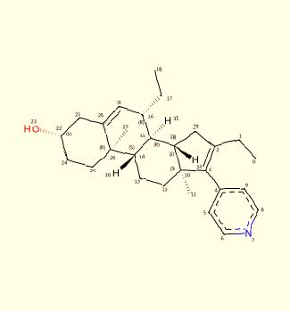 CCC1=C(c2ccncc2)[C@@]2(C)CC[C@H]3[C@@H]([C@@H](CC)C=C4C[C@@H](O)CC[C@@]43C)[C@@H]2C1